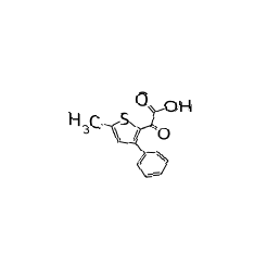 Cc1cc(-c2ccccc2)c(C(=O)C(=O)O)s1